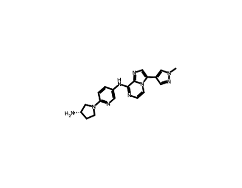 Cn1cc(-c2cnc3c(Nc4ccc(N5CC[C@H](N)C5)nc4)nccn23)cn1